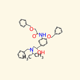 CC(C)N(Cc1ccccc1)CC(O)c1ccc(OCc2ccccc2)c(NC(=O)COCc2ccccc2)c1